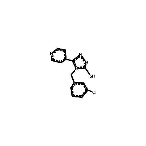 Sc1nnc(-c2ccncc2)n1Cc1cccc(Cl)c1